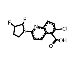 O=C(O)c1c(Cl)ccc2nc(N3CCC(F)C3F)ccc12